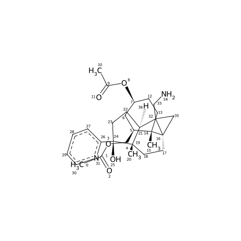 CC(=O)OC[C@H]1C[C@@H](OC(C)=O)CC[C@]1(C)[C@@]12CC[C@@]3(C)[C@@H](CC[C@@]3(O)c3ccccn3)C1(CN)C2